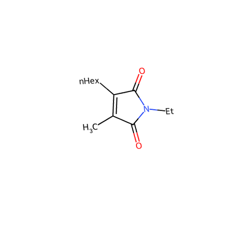 CCCCCCC1=C(C)C(=O)N(CC)C1=O